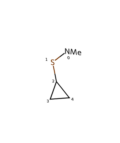 CNSC1CC1